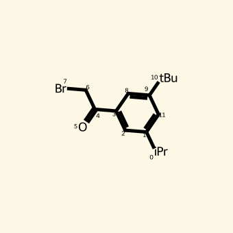 CC(C)c1cc(C(=O)CBr)cc(C(C)(C)C)c1